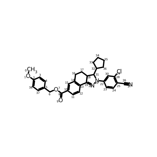 COc1ccc(COC(=O)c2ccc3c(c2)CCC2C3=NN(c3ccc(C#N)c(Cl)c3)C2C2CCCC2)cc1